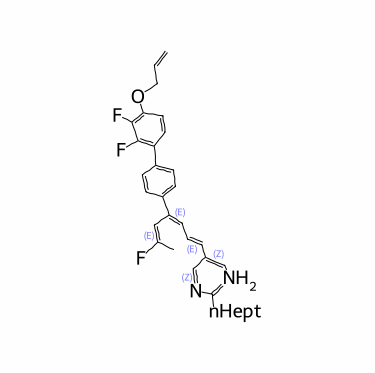 C=CCOc1ccc(-c2ccc(C(/C=C(\C)F)=C/C=C/C(/C=N\C(=C)CCCCCCC)=C/N)cc2)c(F)c1F